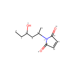 CCC(O)CC(C)N1C(=O)C=CC1=O